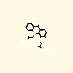 C[C@@](O)([SiH3])COc1c(Cl)ccc2c(=O)c3ccccc3n(CC(=O)O)c12